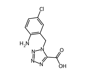 Nc1ccc(Cl)cc1Cn1nnnc1C(=O)O